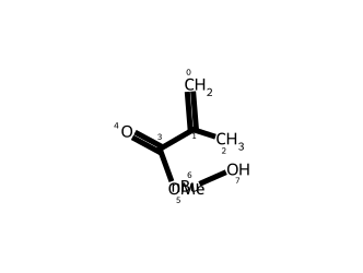 C=C(C)C(=O)OC.CCCCO